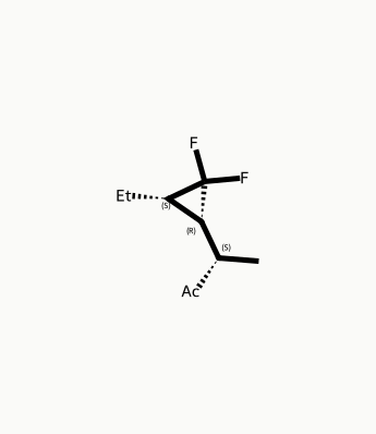 CC[C@H]1[C@@H]([C@H](C)C(C)=O)C1(F)F